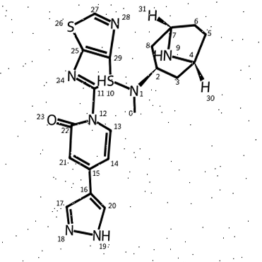 CN([C@@H]1C[C@H]2CC[C@@H](C1)N2)[SH]1C(n2ccc(-c3cn[nH]c3)cc2=O)=Nc2scnc21